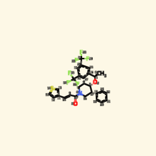 C[C@@H](O[C@H]1CCN(C(=O)C=Cc2ccsc2)C[C@H]1c1ccccc1)c1cc(C(F)(F)F)cc(C(F)(F)F)c1